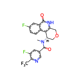 CN(C(=O)c1cnc(C(F)(F)F)c(F)c1)[C@H]1COCc2[nH]c(=O)c3cc(F)ccc3c21